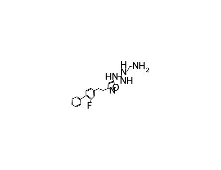 N=C(NCCN)Nc1cc(CCc2ccc(-c3ccccc3)c(F)c2)no1